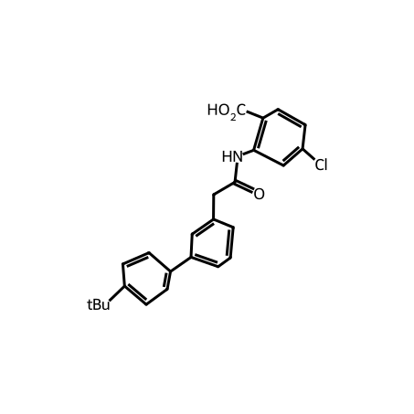 CC(C)(C)c1ccc(-c2cccc(CC(=O)Nc3cc(Cl)ccc3C(=O)O)c2)cc1